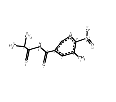 Cc1cc(C(=O)NC(=O)C(C)C)cnc1[N+](=O)[O-]